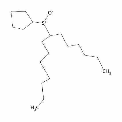 CCCCCCCC(CCCCCC)[S+]([O-])C1CCCC1